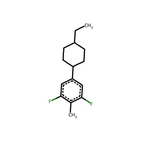 CCC1CCC(c2cc(F)c(C)c(F)c2)CC1